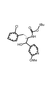 COc1cc(C(O)[C@H](Cc2ccccc2Cl)NC(=O)OC(C)(C)C)ccn1